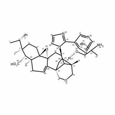 CC(C)[C@@H](C)[C@@]1(C)CC[C@]2(C)[C@H]3CC[C@@H]4[C@@]5(COC[C@@]4(C)[C@@H](OC[C@](C)(N)C(C)(C)C)[C@H](n4ncnc4-c4cncnc4)C5)C3=CC[C@@]2(C)[C@@H]1C(=O)O